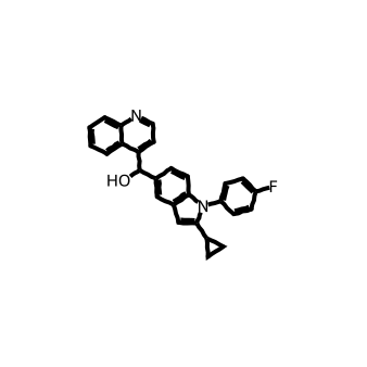 OC(c1ccc2c(c1)cc(C1CC1)n2-c1ccc(F)cc1)c1ccnc2ccccc12